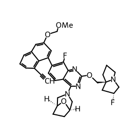 C#Cc1cccc2cc(OCOC)cc(-c3ccc4c(N5C[C@H]6CC[C@@H](C5)O6)nc(OC[C@@]56CCCN5C[C@H](F)C6)nc4c3F)c12